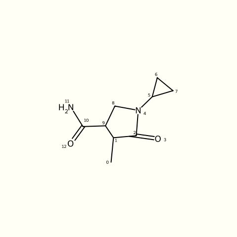 CC1C(=O)N(C2CC2)CC1C(N)=O